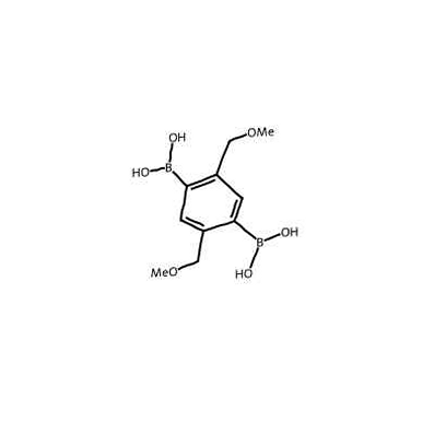 COCc1cc(B(O)O)c(COC)cc1B(O)O